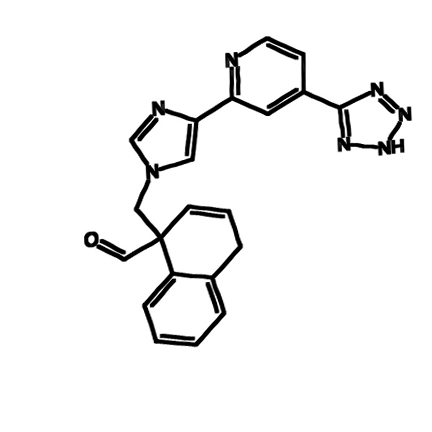 O=CC1(Cn2cnc(-c3cc(-c4nn[nH]n4)ccn3)c2)C=CCc2ccccc21